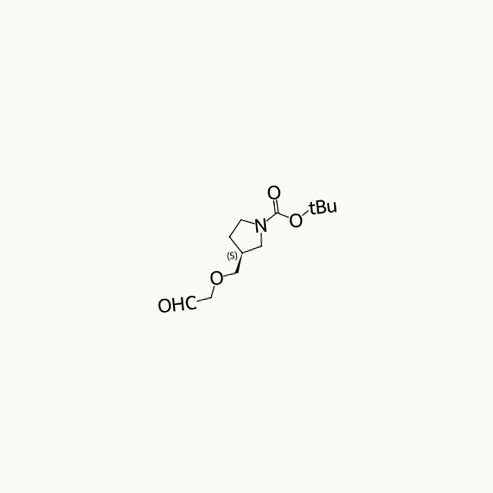 CC(C)(C)OC(=O)N1CC[C@H](COCC=O)C1